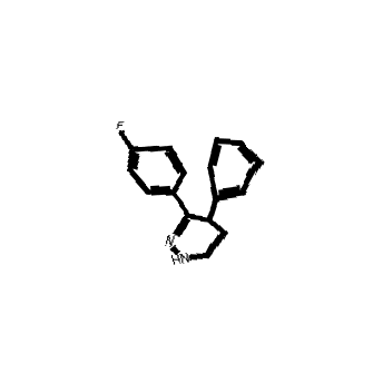 Fc1ccc(C2=NNCCC2c2ccccc2)cc1